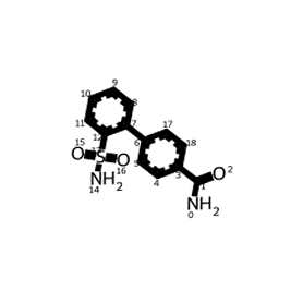 NC(=O)c1ccc(-c2ccccc2S(N)(=O)=O)cc1